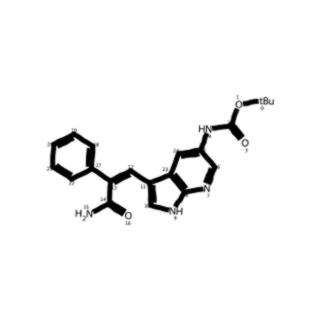 CC(C)(C)OC(=O)Nc1cnc2[nH]cc(/C=C(\C(N)=O)c3ccccc3)c2c1